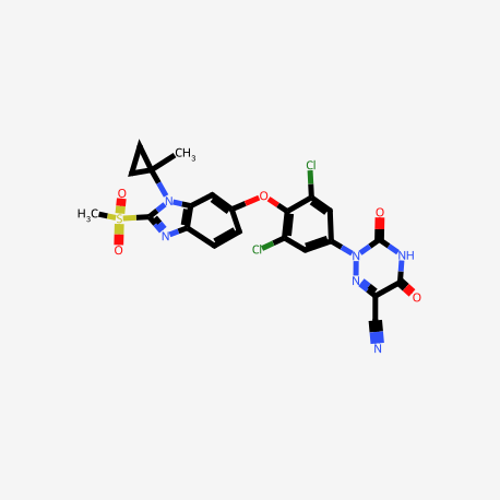 CC1(n2c(S(C)(=O)=O)nc3ccc(Oc4c(Cl)cc(-n5nc(C#N)c(=O)[nH]c5=O)cc4Cl)cc32)CC1